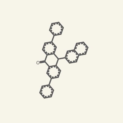 O=C1c2cc(-c3ccccc3)ccc2C(c2ccc3ccccc3c2)c2cc(-c3ccccc3)ccc21